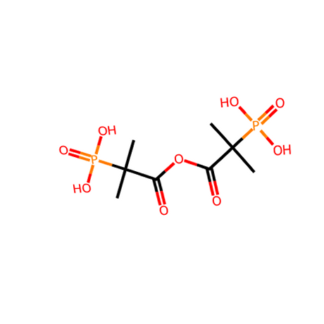 CC(C)(C(=O)OC(=O)C(C)(C)P(=O)(O)O)P(=O)(O)O